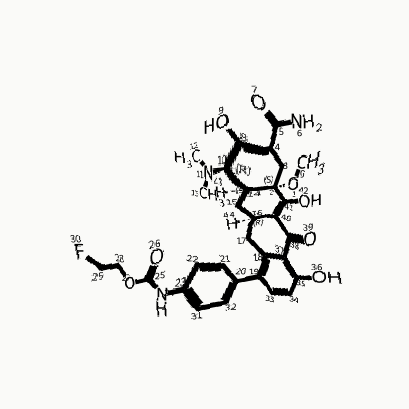 CO[C@@]12CC(C(N)=O)=C(O)[C@H](N(C)C)[C@@H]1C[C@@H]1Cc3c(-c4ccc(NC(=O)OCCF)cc4)ccc(O)c3C(=O)C1=C2O